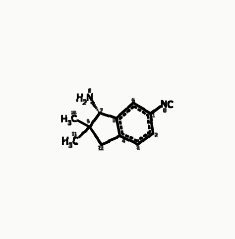 [C-]#[N+]c1ccc2c(c1)[C@@H](N)C(C)(C)C2